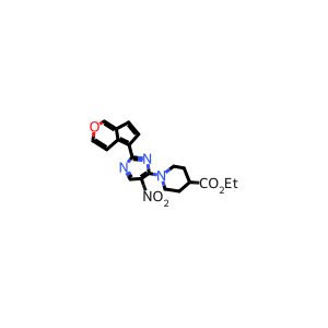 CCOC(=O)C1CCN(c2nc(-c3ccc4coccc3-4)ncc2[N+](=O)[O-])CC1